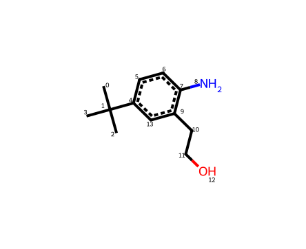 CC(C)(C)c1ccc(N)c(CCO)c1